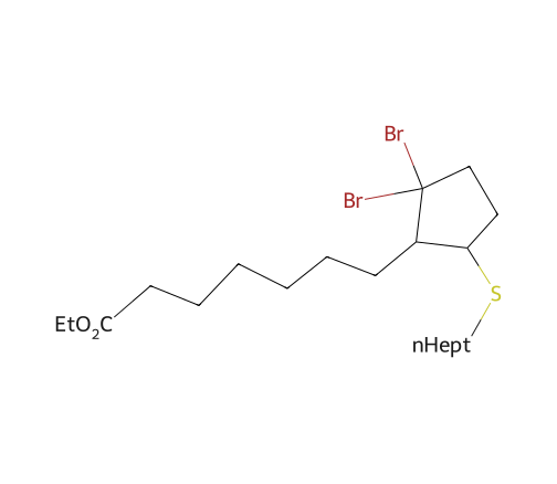 CCCCCCCSC1CCC(Br)(Br)C1CCCCCCC(=O)OCC